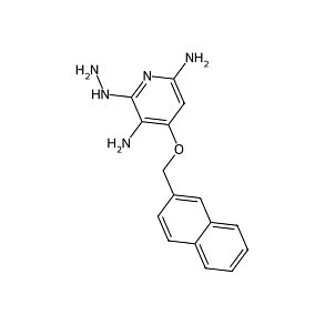 NNc1nc(N)cc(OCc2ccc3ccccc3c2)c1N